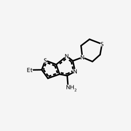 CCc1cc2c(N)nc(N3CCSCC3)nc2s1